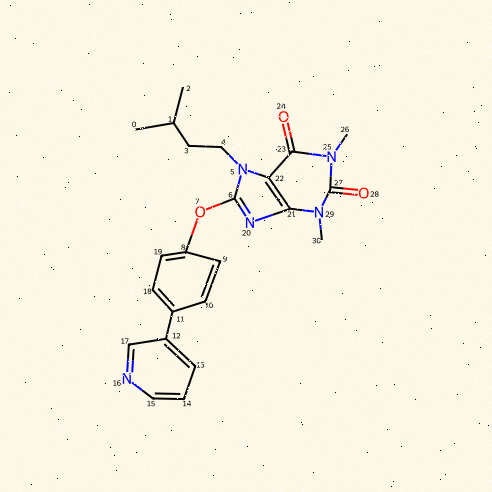 CC(C)CCn1c(Oc2ccc(-c3cccnc3)cc2)nc2c1c(=O)n(C)c(=O)n2C